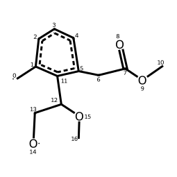 [CH2]c1cccc(CC(=O)OC)c1C(C[O])OC